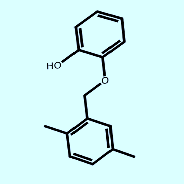 Cc1ccc(C)c(COc2ccccc2O)c1